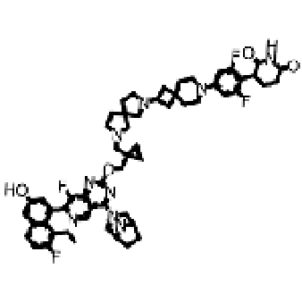 CCc1c(F)ccc2cc(O)cc(-c3ncc4c(N5CC6CCC(C5)N6)nc(OCC5(CN6CCC7(CCN(C8CC9(CCN(c%10cc(F)c(C%11CCC(=O)NC%11=O)c(F)c%10)CC9)C8)C7)C6)CC5)nc4c3F)c12